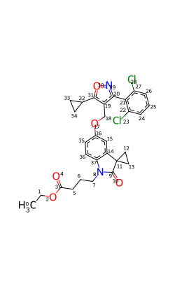 CCOC(=O)CCCN1C(=O)C2(CC2)c2cc(OCc3c(-c4c(Cl)cccc4Cl)noc3C3CC3)ccc21